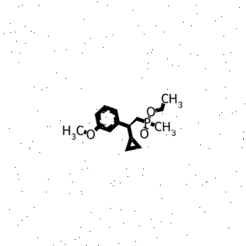 CCOP(C)(=O)C[C@H](c1cccc(OC)c1)C1CC1